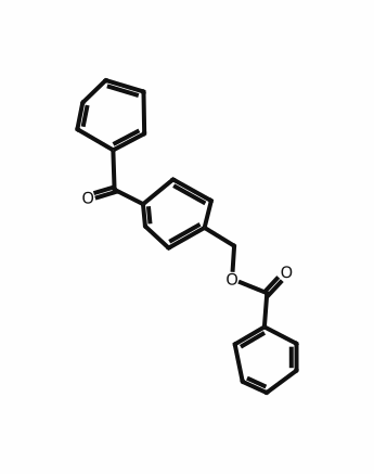 O=C(OCc1ccc(C(=O)c2ccccc2)cc1)c1ccccc1